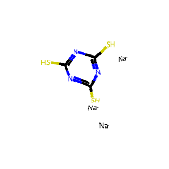 Sc1nc(S)nc(S)n1.[Na].[Na].[Na]